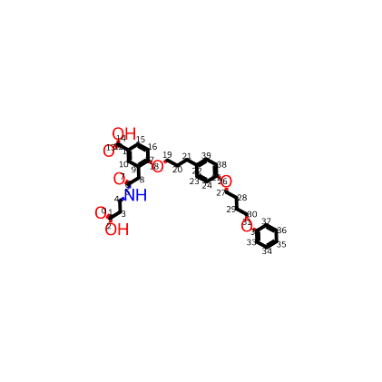 O=C(O)CCNC(=O)Cc1cc(C(=O)O)ccc1OCCCc1ccc(OCCCCOc2ccccc2)cc1